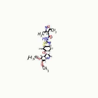 COc1cc2nccc(Oc3ccc4nc(NC(=O)c5c(C)noc5C)sc4c3)c2cc1OC